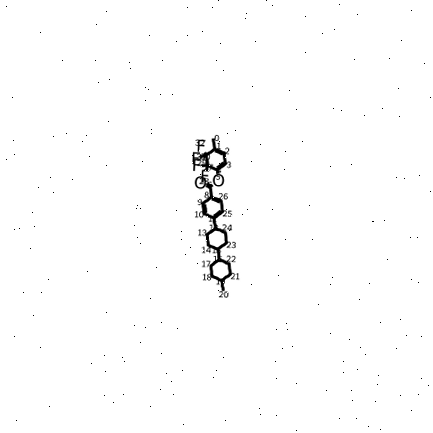 CC1=CC=C(OC(=O)c2ccc(C3CCC(C4CCC(C)CC4)CC3)cc2)C(F)(F)C1(F)F